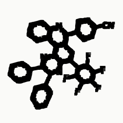 N#Cc1ccc(-c2nc3ccccc3c3c2cc(-c2c(F)c(F)c(F)c(F)c2F)c2nc(-c4ccccc4)c(-c4ccccc4)nc23)cc1